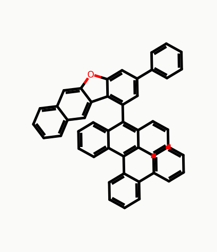 c1ccc(-c2cc(-c3c4ccccc4c(-c4ccccc4-c4ccccc4)c4ccccc34)c3c(c2)oc2cc4ccccc4cc23)cc1